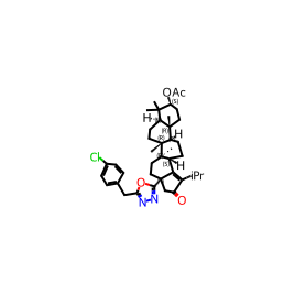 CC(=O)O[C@H]1CC[C@]2(C)[C@H]3CC[C@@H]4C5=C(C(C)C)C(=O)C[C@]5(c5nnc(Cc6ccc(Cl)cc6)o5)CC[C@@]4(C)[C@]3(C)CC[C@H]2C1(C)C